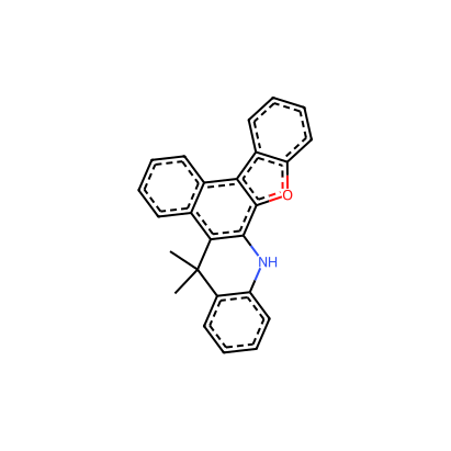 CC1(C)c2ccccc2Nc2c1c1ccccc1c1c2oc2ccccc21